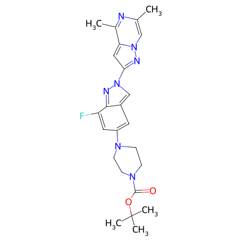 Cc1cn2nc(-n3cc4cc(N5CCN(C(=O)OC(C)(C)C)CC5)cc(F)c4n3)cc2c(C)n1